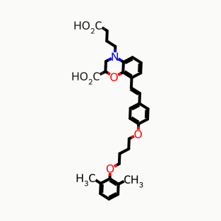 Cc1cccc(C)c1OCCCCOc1ccc(/C=C/c2cccc3c2OC(C(=O)O)CN3CCCC(=O)O)cc1